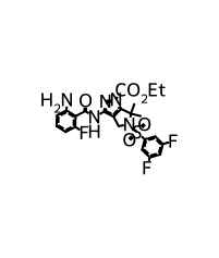 CCOC(=O)n1nc(NC(=O)c2c(N)cccc2F)c2c1C(C)(C)N(S(=O)(=O)c1cc(F)cc(F)c1)C2